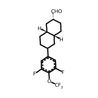 O=C[C@@H]1CC[C@@H]2CC(c3cc(F)c(OC(F)(F)F)c(F)c3)CC[C@@H]2C1